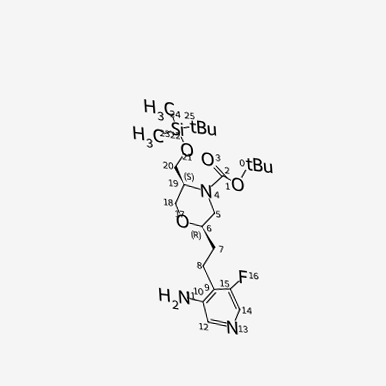 CC(C)(C)OC(=O)N1C[C@@H](CCc2c(N)cncc2F)OC[C@H]1CO[Si](C)(C)C(C)(C)C